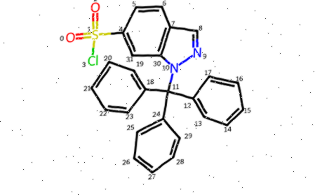 O=S(=O)(Cl)c1ccc2cnn(C(c3ccccc3)(c3ccccc3)c3ccccc3)c2c1